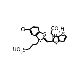 O=C(O)C[n+]1c(C=C2Sc3ccc(Cl)cc3N2CCCS(=O)(=O)O)sc2ccsc21